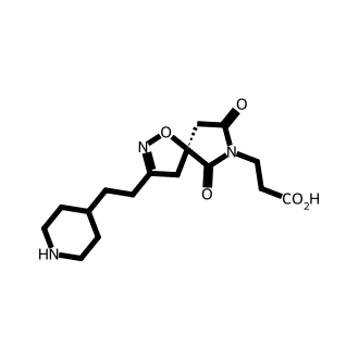 O=C(O)CCN1C(=O)C[C@@]2(CC(CCC3CCNCC3)=NO2)C1=O